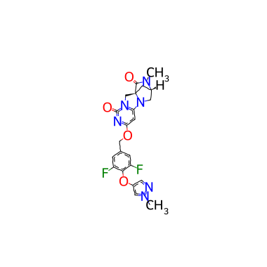 CN1C(=O)[C@]23C[C@H]1CN2c1cc(OCc2cc(F)c(Oc4cnn(C)c4)c(F)c2)nc(=O)n1C3